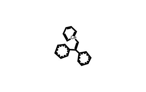 C1=C[CH]=[Ge]([CH]=C(c2ccccc2)c2ccccc2)[CH]=C1